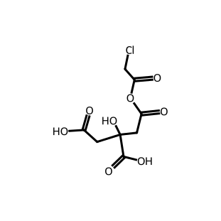 O=C(O)CC(O)(CC(=O)OC(=O)CCl)C(=O)O